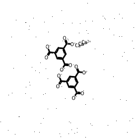 O=C([O-])c1cc(C(=O)[O-])cc(C(=O)[O-])c1.O=C([O-])c1cc(C(=O)[O-])cc(C(=O)[O-])c1.[Ca+2].[Ca+2].[Ca+2]